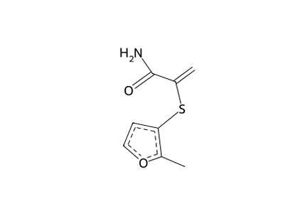 C=C(Sc1ccoc1C)C(N)=O